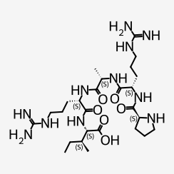 CC[C@H](C)[C@H](NC(=O)[C@H](CCCNC(=N)N)NC(=O)[C@H](C)NC(=O)[C@H](CCCNC(=N)N)NC(=O)[C@@H]1CCCN1)C(=O)O